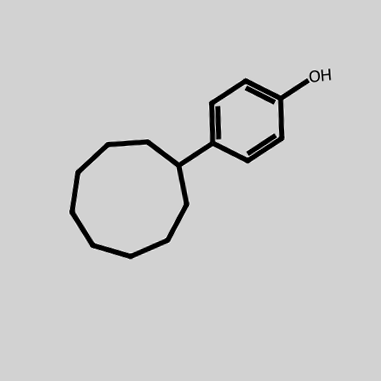 Oc1ccc(C2CCCCCCCC2)cc1